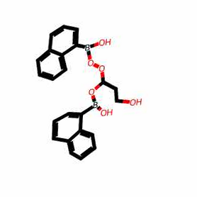 OCCC(OOB(O)c1cccc2ccccc12)OB(O)c1cccc2ccccc12